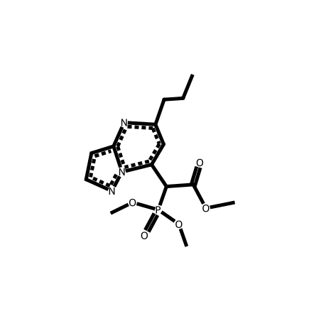 CCCc1cc(C(C(=O)OC)P(=O)(OC)OC)n2nccc2n1